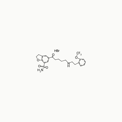 Br.NS(=O)(=O)c1cc(C(=O)CCCCNCCc2ccccc2OC(F)(F)F)cc2c1OCC2